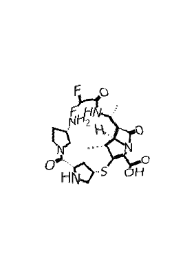 C[C@@H](NC(=O)C(F)F)[C@H]1C(=O)N2C(C(=O)O)=C(S[C@@H]3CN[C@H](C(=O)N4CC[C@H](N)C4)C3)[C@H](C)[C@@H]12